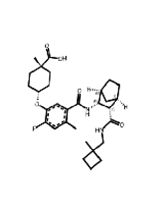 Cc1cc(F)c(O[C@H]2CC[C@@](C)(C(=O)O)CC2)cc1C(=O)N[C@@H]1[C@H]2CC[C@H](C2)[C@@H]1C(=O)NCC1(C)CCC1